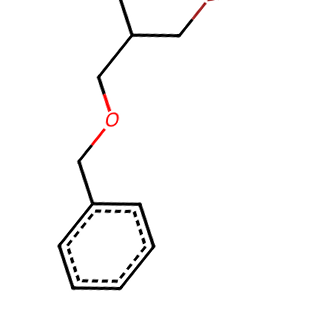 CC(CBr)COCc1ccccc1